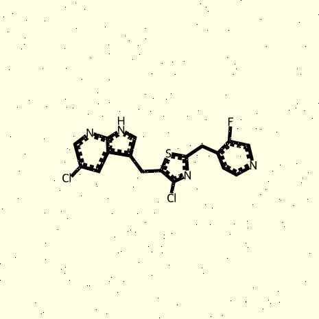 Fc1cnccc1[CH]c1nc(Cl)c(Cc2c[nH]c3ncc(Cl)cc23)s1